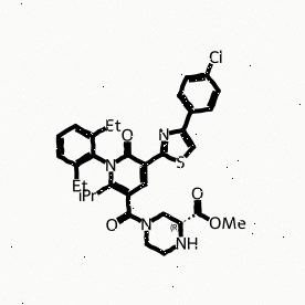 CCc1cccc(CC)c1-n1c(C(C)C)c(C(=O)N2CCN[C@@H](C(=O)OC)C2)cc(-c2nc(-c3ccc(Cl)cc3)cs2)c1=O